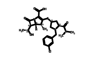 C[C@@H](O)[C@H]1C(=O)N2C(C(=O)O)=C(S[C@H]3C[C@@H](C(=O)N(C)C)N(Cc4cccc(Cl)c4)C3)[C@H](C)[C@H]12